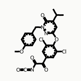 COc1ccc(Cn2nc(Oc3c(Cl)cc(C(=O)C(=O)N=C=O)cc3Cl)cc(C(C)C)c2=O)cc1